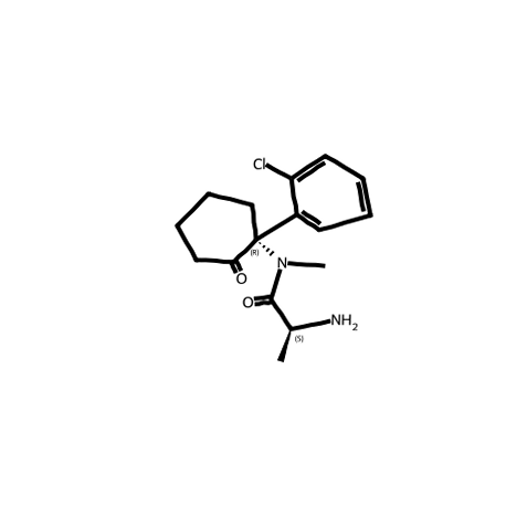 C[C@H](N)C(=O)N(C)[C@@]1(c2ccccc2Cl)CCCCC1=O